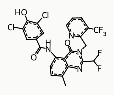 Cc1ccc(NC(=O)c2cc(Cl)c(O)c(Cl)c2)c2c(=O)n(Cc3ncccc3C(F)(F)F)c(C(F)F)nc12